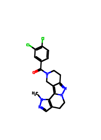 Cn1ncc2c1-c1c3c(nn1CC2)CCN(C(=O)c1ccc(Cl)c(Cl)c1)C3